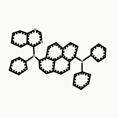 c1ccc(N(c2ccccc2)c2ccc3ccc4c(N(c5ccccc5)c5ncnc6ccccc56)ccc5ccc2c3c54)cc1